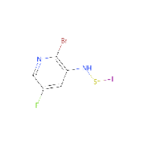 Fc1cnc(Br)c(NSI)c1